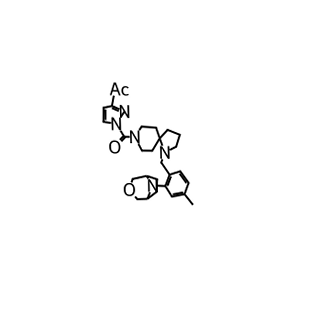 CC(=O)c1ccn(C(=O)N2CCC3(CCCN3Cc3ccc(C)cc3N3C4CCC3COC4)CC2)n1